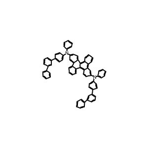 c1ccc(-c2cccc(-c3ccc(N(c4ccccc4)c4ccc5c(c4)c4ccccc4c4c6ccc(N(c7ccccc7)c7ccc(-c8cccc(-c9ccccc9)c8)cc7)cc6c6ccccc6c54)cc3)c2)cc1